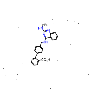 CCCCNc1nc(NCc2ccc(-c3ccccc3C(=O)O)cc2)c2ccccc2n1